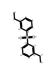 CCc1cccc(S(=O)(=O)c2cccc(CC)c2)c1